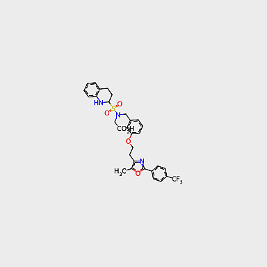 Cc1oc(-c2ccc(C(F)(F)F)cc2)nc1CCOc1cccc(CN(CC(=O)O)S(=O)(=O)C2CCc3ccccc3N2)c1